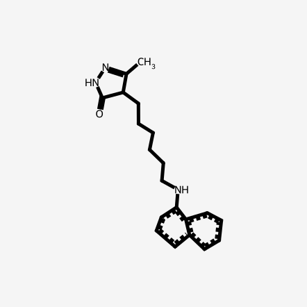 CC1=NNC(=O)C1CCCCCCNc1cccc2ccccc12